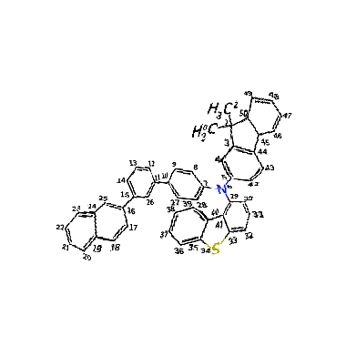 CC1(C)c2cc(N(c3ccc(-c4cccc(-c5ccc6ccccc6c5)c4)cc3)c3cccc4sc5ccccc5c34)ccc2C2C=CC=CC21